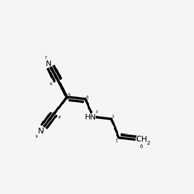 C=CCN[C]=C(C#N)C#N